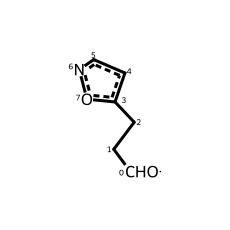 O=[C]CCc1ccno1